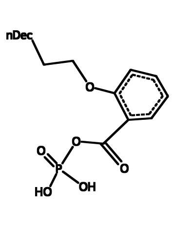 CCCCCCCCCCCCOc1ccccc1C(=O)OP(=O)(O)O